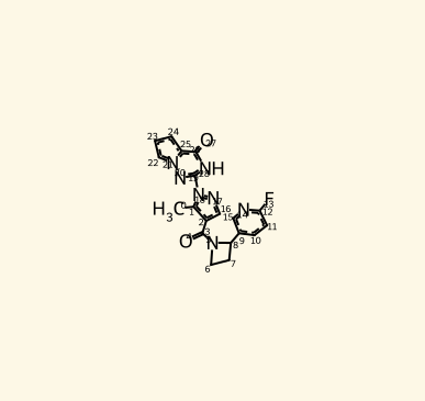 Cc1c(C(=O)N2CCC2c2ccc(F)nc2)cnn1-c1nn2cccc2c(=O)[nH]1